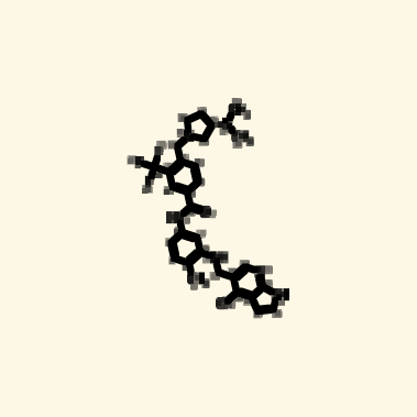 Cc1ccc(NC(=O)c2ccc(CN3CC[C@H](N(C)C)C3)c(C(F)(F)F)c2)cc1NCc1cnc2[nH]ccc2c1Cl